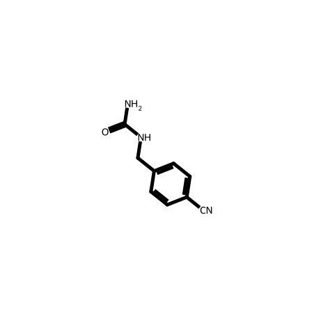 N#Cc1ccc(CNC(N)=O)cc1